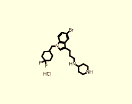 Cl.FC1(F)CCC(Cn2cc(CCCNC3CCNCC3)c3cc(Br)ccc32)CC1